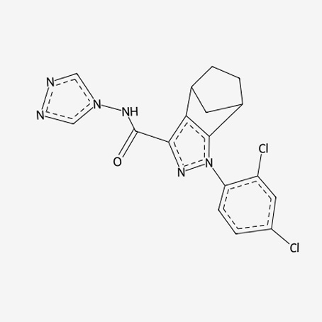 O=C(Nn1cnnc1)c1nn(-c2ccc(Cl)cc2Cl)c2c1C1CCC2C1